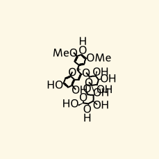 COc1cc(-c2[o+]c3cc(O)cc(O)c3cc2OC2O[C@@](C)(OC3O[C@H](CO)[C@@H](O)[C@H](O)[C@H]3O)[C@@H](O)[C@H](O)[C@@H]2O)cc(OC)c1O